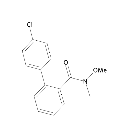 CON(C)C(=O)c1ccccc1-c1ccc(Cl)cc1